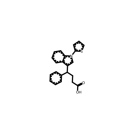 O=C(O)CCC(c1ccccc1)c1cn(-c2cccs2)c2ccccc12